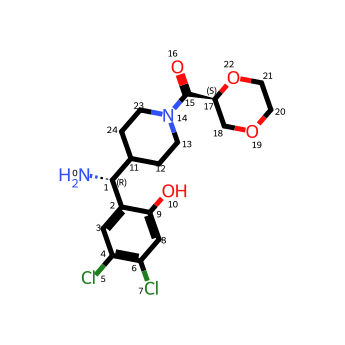 N[C@@H](c1cc(Cl)c(Cl)cc1O)C1CCN(C(=O)[C@@H]2COCCO2)CC1